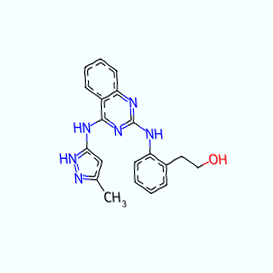 Cc1cc(Nc2nc(Nc3ccccc3CCO)nc3ccccc23)[nH]n1